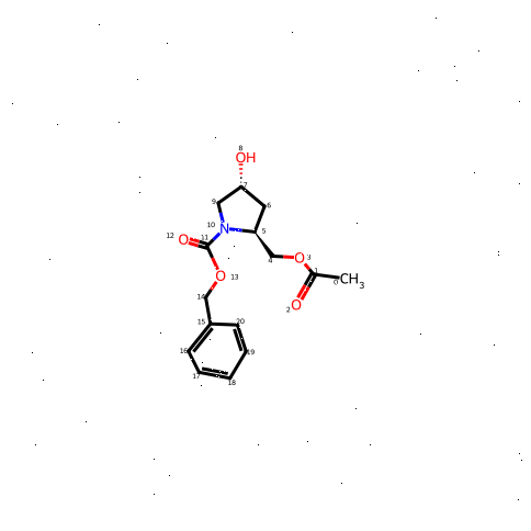 CC(=O)OC[C@@H]1C[C@@H](O)CN1C(=O)OCc1ccccc1